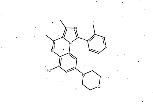 Cc1cnccc1-c1nc(C)c2c(C)nc3c(O)cc(N4CCOCC4)cc3n12